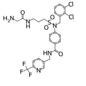 NCC(=O)NCCCS(=O)(=O)N(Cc1cccc(Cl)c1Cl)c1ccc(C(=O)NCc2ccc(C(F)(F)F)nc2)cc1